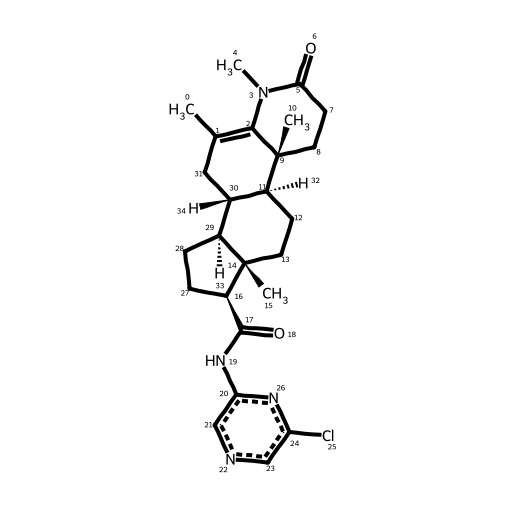 CC1=C2N(C)C(=O)CC[C@]2(C)[C@H]2CC[C@]3(C)[C@@H](C(=O)Nc4cncc(Cl)n4)CC[C@H]3[C@@H]2C1